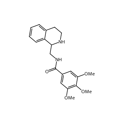 COc1cc(C(=O)NCC2NCCc3ccccc32)cc(OC)c1OC